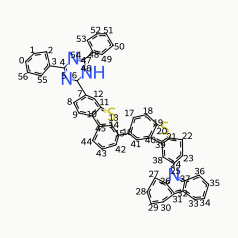 c1ccc(C2=NC(c3ccc4c(c3)sc3c(-c5ccc6sc7ccc(-n8c9ccccc9c9ccccc98)cc7c6c5)cccc34)NC(c3ccccc3)=N2)cc1